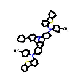 Cc1ccc(N(c2ccc3cc4c5ccc(N(c6ccc(C)cc6)c6cccc7c6sc6ccccc67)cc5n5c6ccc(-c7ccccc7)cc6c(c3c2)c45)c2cccc3c2sc2ccccc23)cc1